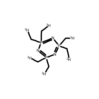 [2H]CP1(C[2H])=NP(C[2H])(C[2H])=NP(C[2H])(C[2H])=N1